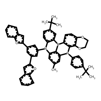 Cc1cc2c3c(c1)N(c1ccc(C(C)(C)C)cc1)c1c(ccc4c1OCCO4)B3c1cc(C(C)(C)C)ccc1N2c1cc(-c2cc3ccccc3o2)cc(-c2cc3ccccc3o2)c1